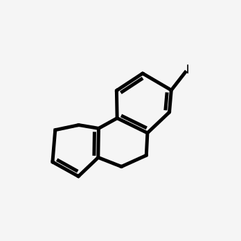 Ic1ccc2c(c1)CCC1=C2CCC=C1